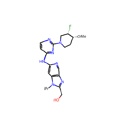 CO[C@@H]1CCN(c2nccc(Nc3cc4c(cn3)nc(CO)n4C(C)C)n2)C[C@@H]1F